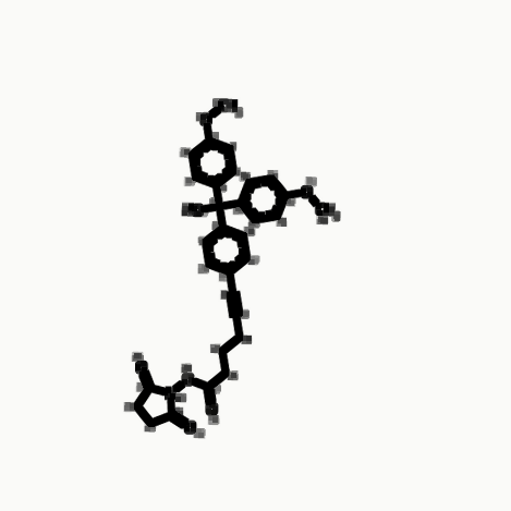 COc1ccc(C(O)(c2ccc(C#CCCCC(=O)ON3C(=O)CCC3=O)cc2)c2ccc(OC)cc2)cc1